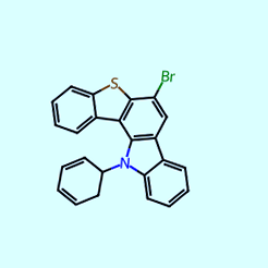 Brc1cc2c3ccccc3n(C3C=CC=CC3)c2c2c1sc1ccccc12